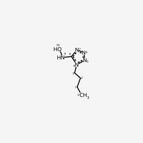 CCCCn1nnnc1NO